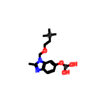 Cc1nc2ccc(OB(O)O)cc2n1COCC[Si](C)(C)C